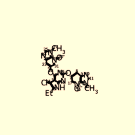 CCc1[nH]c2nc(Oc3cc4ncn(C)c4[n+]([O-])c3)nc(Oc3cc4ncn(C)c4[n+]([O-])c3)c2c1Cl